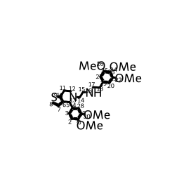 COc1ccc(C2c3ccsc3CCN2CCNCCc2cc(OC)c(OC)c(OC)c2)cc1OC